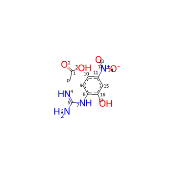 CC(=O)O.N=C(N)Nc1ccc([N+](=O)[O-])cc1O